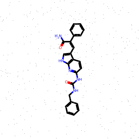 NC(=O)C(=Cc1c[nH]c2nc(NC(=O)NCc3ccccc3)ccc12)c1ccccc1